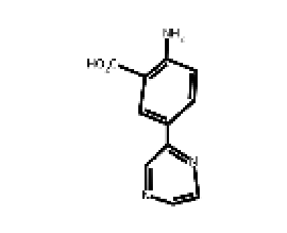 Nc1ccc(-c2cnccn2)cc1C(=O)O